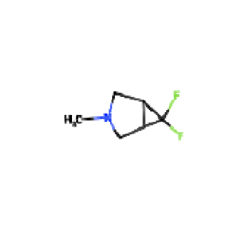 CN1CC2C(C1)C2(F)F